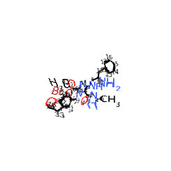 CCNC(=O)c1c(NC[C@H](N)Cc2ccccc2)nc(C(=O)OC)n1Cc1cc(Br)c2c(c1)CCO2